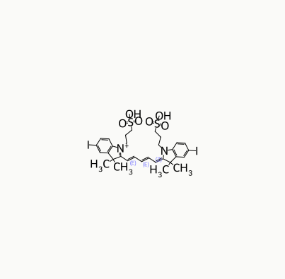 CC1(C)C(/C=C/C=C/C=C2\N(CCCS(=O)(=O)O)c3ccc(I)cc3C2(C)C)=[N+](CCCS(=O)(=O)O)c2ccc(I)cc21